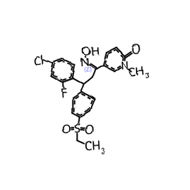 CCS(=O)(=O)c1ccc(C(C/C(=N/O)c2ccc(=O)n(C)c2)c2ccc(Cl)cc2F)cc1